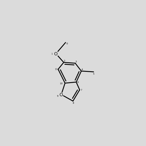 COc1cc(C)c2ccoc2c1